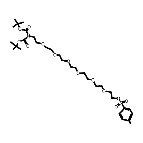 Cc1ccc(S(=O)(=O)OCCOCCOCCOCCOCCOCCOCCN(C(=O)OC(C)(C)C)C(=O)OC(C)(C)C)cc1